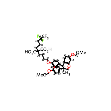 COCOc1ccc(C2(C)COc3cc(OCOC)ccc3C2c2ccc(OCCCCC(CCCC(F)(F)C(F)(F)F)(C(=O)O)C(=O)O)cc2)cc1